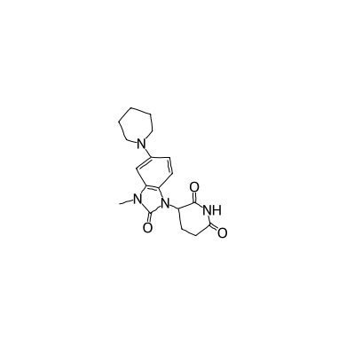 Cn1c(=O)n(C2CCC(=O)NC2=O)c2ccc(N3CCCCC3)cc21